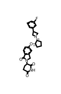 O=C1CCC(N2Cc3cc(O[C@H]4CCC[C@H]4N4CC(c5cccc(F)c5)C4)ccc3C2=O)C(=O)N1